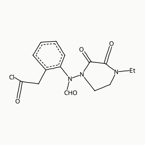 CCN1CCN(N(C=O)c2ccccc2CC(=O)Cl)C(=O)C1=O